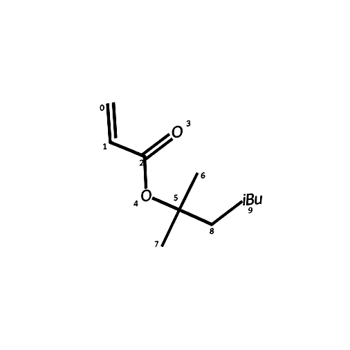 C=CC(=O)OC(C)(C)CC(C)CC